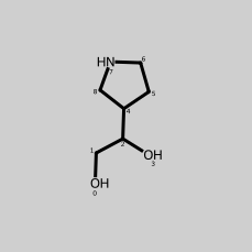 OCC(O)C1CCNC1